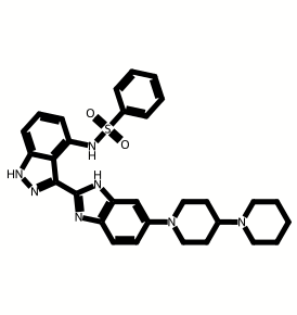 O=S(=O)(Nc1cccc2[nH]nc(-c3nc4ccc(N5CCC(N6CCCCC6)CC5)cc4[nH]3)c12)c1ccccc1